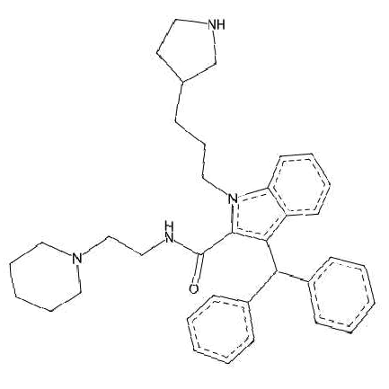 O=C(NCCN1CCCCC1)c1c(C(c2ccccc2)c2ccccc2)c2ccccc2n1CCCC1CCNC1